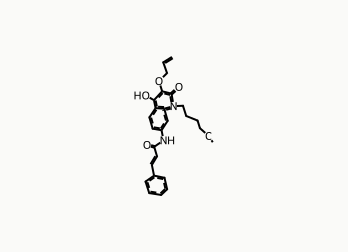 C=CCOc1c(O)c2ccc(NC(=O)C=Cc3ccccc3)cc2n(CCCCCC)c1=O